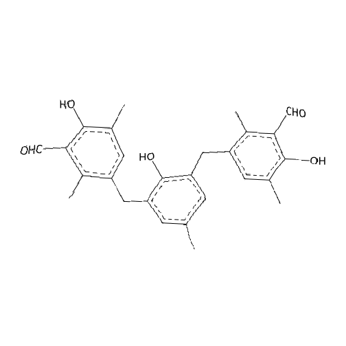 Cc1cc(Cc2cc(C)c(O)c(C=O)c2C)c(O)c(Cc2cc(C)c(O)c(C=O)c2C)c1